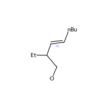 CCCC/C=C/C(CC)C[O]